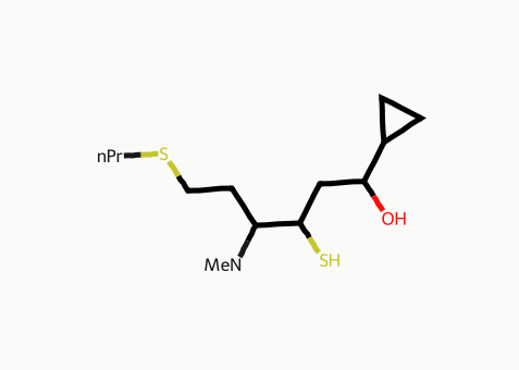 CCCSCCC(NC)C(S)CC(O)C1CC1